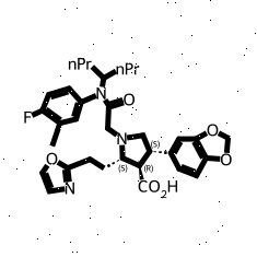 CCCC(CCC)N(C(=O)CN1C[C@H](c2ccc3c(c2)OCO3)[C@@H](C(=O)O)[C@@H]1CCc1ncco1)c1ccc(F)c(C)c1